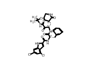 CC(C)(C)NC(=O)C(=O)[C@H](C[C@@H]1CCCNC1=O)NC(=O)[C@H](Cc1ccccc1)NC(=O)c1cc2c(Cl)cc(Cl)cc2[nH]1